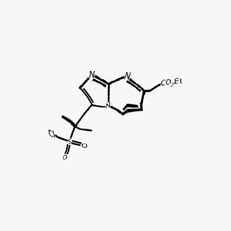 CCOC(=O)c1ccn2c(C(C)(C)S(=O)(=O)Cl)cnc2n1